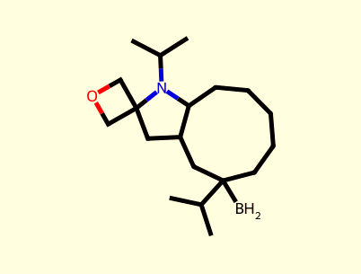 BC1(C(C)C)CCCCCC2C(C1)CC1(COC1)N2C(C)C